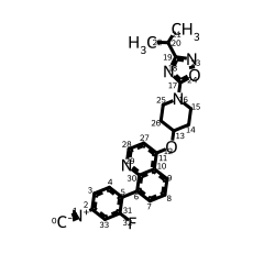 [C-]#[N+]c1ccc(-c2cccc3c(OC4CCN(c5nc(C(C)C)no5)CC4)ccnc23)c(F)c1